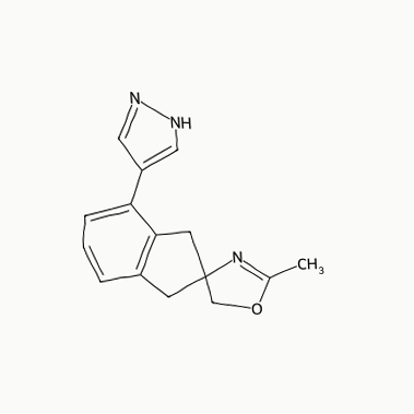 CC1=NC2(CO1)Cc1cccc(-c3cn[nH]c3)c1C2